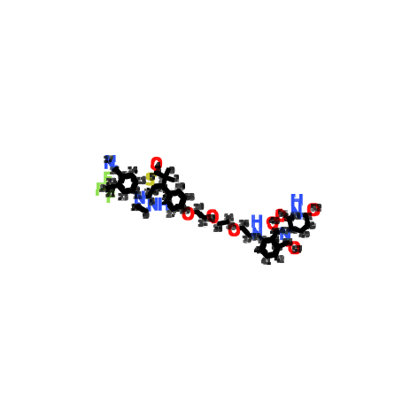 CC1(C)C(=O)SC(C2NCCN2c2ccc(C#N)c(C(F)(F)F)c2)=C1c1ccc(OCCOCCOCCNc2cccc3c2C(=O)N(C2CCC(=O)NC2=O)C3=O)cc1